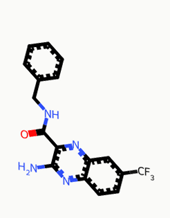 Nc1nc2ccc(C(F)(F)F)cc2nc1C(=O)NCc1ccccc1